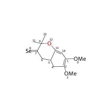 COC1=C(OC)CC2CC(=[Se])C(C)(C)OC2=C1